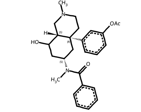 CC(=O)Oc1cccc([C@@]23CCN(C)C[C@H]2C(O)C[C@@H](N(C)C(=O)c2ccccc2)C3)c1